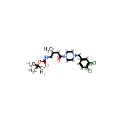 C[C@H](CNC(=O)OC(C)(C)C)CC(=O)N1CCN(Cc2ccc(Cl)c(Cl)c2)CC1